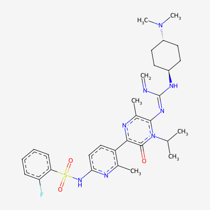 C=N/C(=N\c1c(C)nc(-c2ccc(NS(=O)(=O)c3ccccc3F)nc2C)c(=O)n1C(C)C)N[C@H]1CC[C@H](N(C)C)CC1